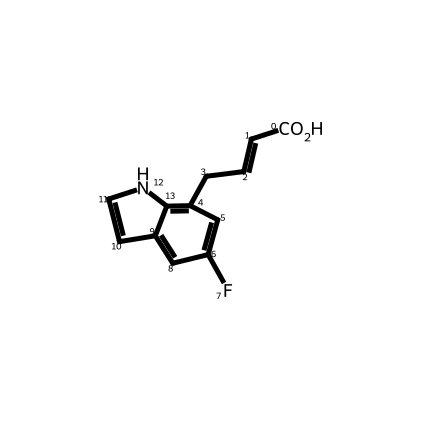 O=C(O)/C=C/Cc1cc(F)cc2cc[nH]c12